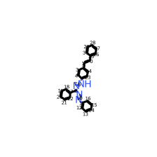 C(=Cc1ccc(NN=C(N=Nc2ccccc2)c2ccccc2)cc1)c1ccccc1